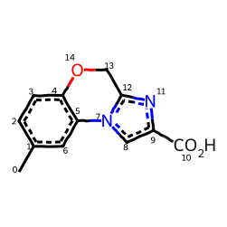 Cc1ccc2c(c1)-n1cc(C(=O)O)nc1CO2